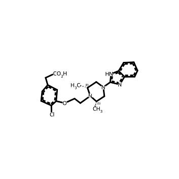 C[C@@H]1CN(c2nc3ccccc3[nH]2)C[C@H](C)N1CCOc1cc(CC(=O)O)ccc1Cl